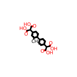 Cc1cc(C(C(=O)O)C(=O)O)ccc1-c1ccc(C(C(=O)O)C(=O)O)cc1